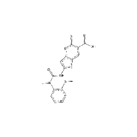 COc1ccccc1N(C)C(=O)Nc1cc2oc(=O)c(C(=O)O)cc2s1